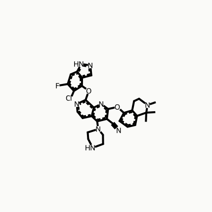 CN1CCc2c(Oc3nc4c(Oc5c(Cl)c(F)cc6[nH]ncc56)nccc4c(N4CCNCC4)c3C#N)cccc2C1(C)C